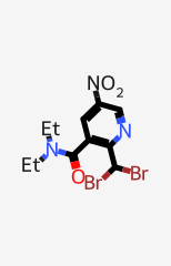 CCN(CC)C(=O)c1cc([N+](=O)[O-])cnc1C(Br)Br